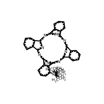 [CH3][Ni]([CH3])([CH3])([CH3])([CH3])([CH3])([CH3])([CH3])[c]1cccc2c3nc4nc(nc5[nH]c(nc6nc(nc([nH]3)c12)-c1ccccc1-6)c1ccccc51)-c1ccccc1-4